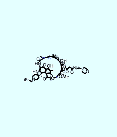 CO[C@H]1/C=C/O[C@@]2(C)Oc3c(C)c(O)c4c(c3C2=O)C2=NC3(CCN(CC(C)C)CC3)NC2=C(NC(=O)/C(C)=C\C=C\[C@H](C)[C@H](O)[C@@H](C)[C@@H](O)[C@@H](C)[C@H](OC(=O)CC(=O)NCCN2CCOCC2)[C@@H]1C)C4=O